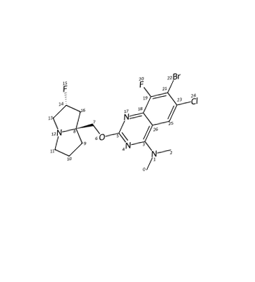 CN(C)c1nc(OC[C@@]23CCCN2C[C@H](F)C3)nc2c(F)c(Br)c(Cl)cc12